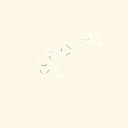 COc1cccc(F)c1C1=CNC(c2ccc(N3CCN(C(C)C)CC3)cn2)C1